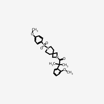 COc1ccc(S(=O)(=O)N2CCC3(CC2)CN(C(=O)C(C)(C)c2ccccc2OC)C3)cc1